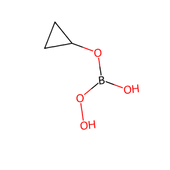 OOB(O)OC1CC1